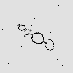 O=C(N[C@@H]1CCNC1)c1ccccc(N2CCCCCCCC2)cccc1